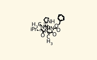 CC(C)C[C@@H](C(=O)N[C@H](C)C(=O)NC(=O)OCc1ccccc1)N(C)C(=O)[C@@H]1CCCN1